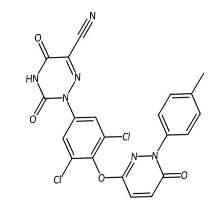 Cc1ccc(-n2nc(Oc3c(Cl)cc(-n4nc(C#N)c(=O)[nH]c4=O)cc3Cl)ccc2=O)cc1